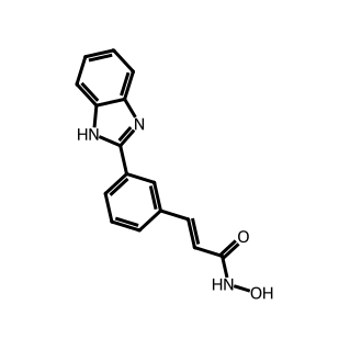 O=C(C=Cc1cccc(-c2nc3ccccc3[nH]2)c1)NO